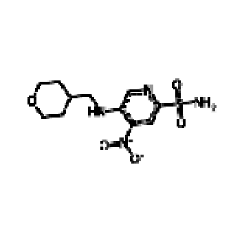 NS(=O)(=O)c1cc([N+](=O)[O-])c(NCC2CCOCC2)cn1